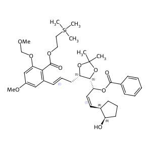 COCOc1cc(OC)cc(/C=C/C[C@@H]2OC(C)(C)O[C@@H]2C(/C=C\[C@H]2CCC[C@H]2O)OC(=O)c2ccccc2)c1C(=O)OCC[Si](C)(C)C